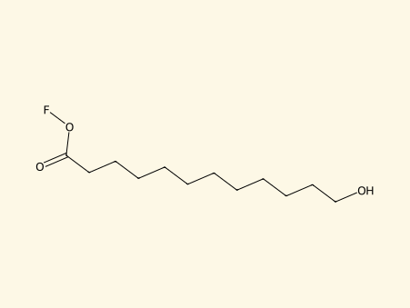 O=C(CCCCCCCCCCCO)OF